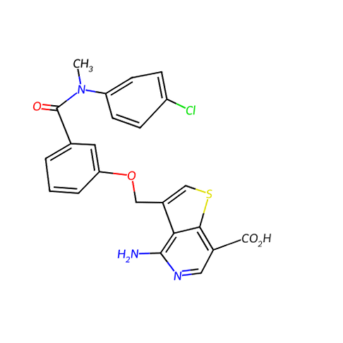 CN(C(=O)c1cccc(OCc2csc3c(C(=O)O)cnc(N)c23)c1)c1ccc(Cl)cc1